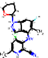 Cc1cc(Cl)c(Nc2c(C)c(F)cc3c2cnn3C2CCCCO2)c(C#N)n1